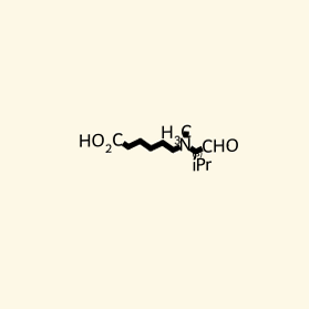 CC(C)[C@@H]([C]=O)N(C)CCCCCC(=O)O